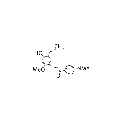 C=CCc1cc(/C=C/C(=O)c2ccc(NC)cc2)c(OC)cc1O